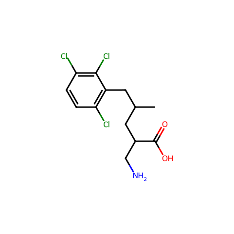 CC(Cc1c(Cl)ccc(Cl)c1Cl)CC(CN)C(=O)O